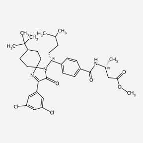 COC(=O)C[C@@H](C)NC(=O)c1ccc([C@@H](CCC(C)C)N2C(=O)C(c3cc(Cl)cc(Cl)c3)=NC23CCC(C(C)(C)C)CC3)cc1